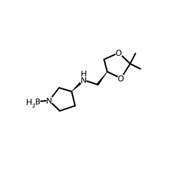 BN1CC[C@H](NC[C@H]2COC(C)(C)O2)C1